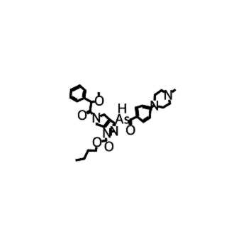 CCCCOC(=O)n1nc([AsH]C(=O)c2ccc(N3CCN(C)CC3)cc2)c2c1CN(C(=O)C(OC)c1ccccc1)C2